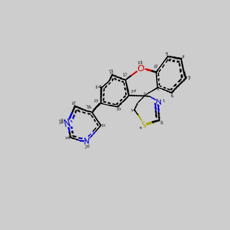 C1=NC2(CS1)c1ccccc1Oc1ccc(-c3cncnc3)cc12